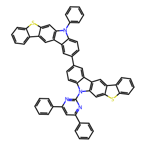 c1ccc(-c2cc(-c3ccccc3)nc(-n3c4ccc(-c5ccc6c(c5)c5cc7c(cc5n6-c5ccccc5)sc5ccccc57)cc4c4cc5c(cc43)sc3ccccc35)n2)cc1